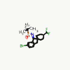 CC(C)(C)[S+]([O-])N=C1c2cc(Br)ccc2CC12CCC(C(F)F)CC2